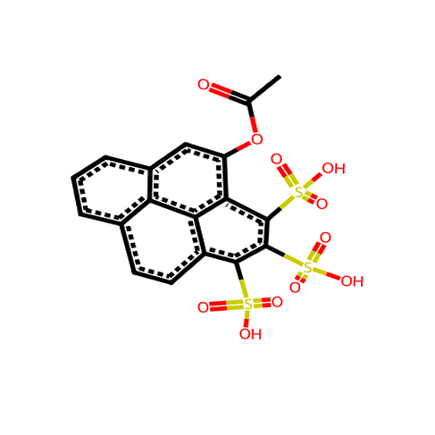 CC(=O)Oc1cc2cccc3ccc4c(S(=O)(=O)O)c(S(=O)(=O)O)c(S(=O)(=O)O)c1c4c32